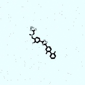 Cc1ccccc1-c1ccc(-c2nc(-c3ccc(CN(C)CC(=O)OC(C)(C)C)c(F)c3)no2)cc1C